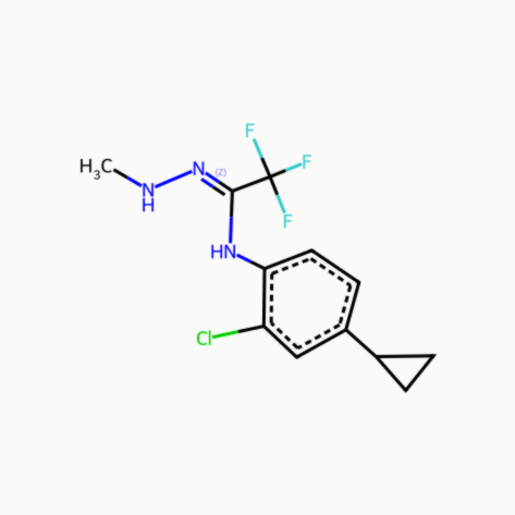 CN/N=C(\Nc1ccc(C2CC2)cc1Cl)C(F)(F)F